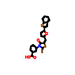 O=C(O)c1cccc(N2C(=O)C(=Cc3ccc(-c4cc5ccccc5s4)o3)SC2=S)c1